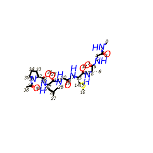 CNC(=O)CNC(=O)[C@H](C)NC(=O)[C@H](CSC)NC(=O)CNC(=O)[C@H](CC(C)C)NC(=O)[C@@H]1CCCN1C(C)=O